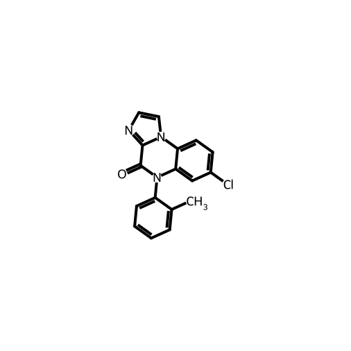 Cc1ccccc1-n1c(=O)c2nccn2c2ccc(Cl)cc21